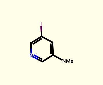 CNc1cncc(I)c1